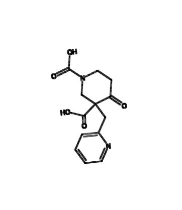 O=C(O)N1CCC(=O)C(Cc2ccccn2)(C(=O)O)C1